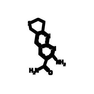 NC(=O)c1cc2cc3c(nc2nc1N)CCSC3